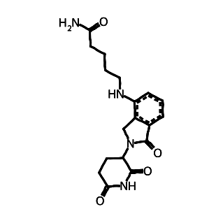 NC(=O)CCCCNc1cccc2c1CN(C1CCC(=O)NC1=O)C2=O